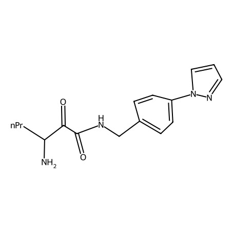 CCCC(N)C(=O)C(=O)NCc1ccc(-n2cccn2)cc1